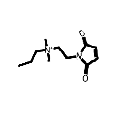 CCC[N+](C)(C)CCN1C(=O)C=CC1=O